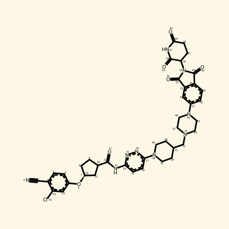 N#Cc1ccc(O[C@H]2CCC(C(=O)Nc3ccc(N4CCC(CN5CCN(c6ccc7c(c6)C(=O)N(C6CCC(=O)NC6=O)C7=O)CC5)CC4)nn3)C2)cc1Cl